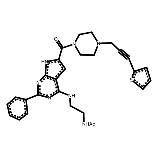 CC(=O)NCCNc1nc(-c2ccccc2)nc2[nH]c(C(=O)N3CCN(CC#Cc4cccs4)CC3)cc12